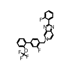 Fc1cc(-c2ccccc2OC(F)(F)F)ccc1Cn1ccc2nc(-c3ccccc3F)nc-2c1